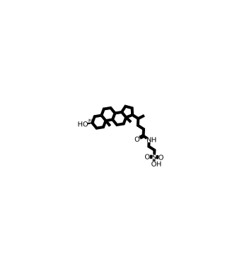 CC(CCC(=O)NCCS(=O)(=O)O)C1CCC2C3CCC4C[C@H](O)CCC4(C)C3CCC12C